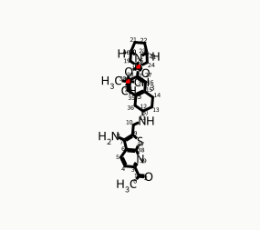 CC(=O)c1ccc2c(N)c(CN[C@H]3CCc4cc(N5C[C@H]6CC[C@@H](C5)N6C(=O)OC(C)(C)C)ccc4C3)sc2n1